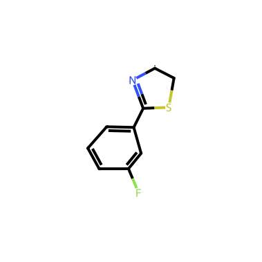 Fc1cccc(C2=N[CH]CS2)c1